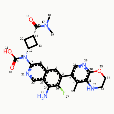 Cc1c(-c2cc3cc(N(C(=O)O)[C@H]4C[C@@H](C(=O)N(C)C)C4)ncc3c(N)c2F)cnc2c1NCCO2